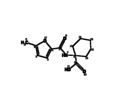 Cc1ccc(C(=O)NC2(C(=O)O)CCCCC2)o1